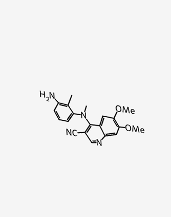 COc1cc2ncc(C#N)c(N(C)c3cccc(N)c3C)c2cc1OC